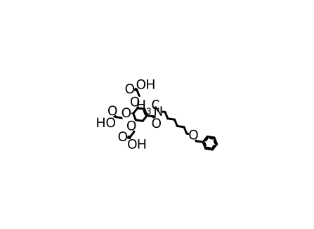 CN(CCCCCCOCc1ccccc1)C(=O)C1=C[C@@H](OCC(=O)O)[C@@H](OCC(=O)O)[C@H](OCC(=O)O)C1